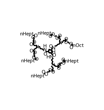 CCCCCCCCC(=O)OCCOC(=O)CCN(CCCCNC(=O)c1cc(C(=O)NCCCCN(CCC(=O)OCCOC(=O)CCCCCCC)CCC(=O)OCCOC(=O)CCCCCCC)cc(C(=O)NCCCCN(CCC(=O)OCCOC(=O)CCCCCCC)CCC(=O)OCCOC(=O)CCCCCCC)c1)CCC(=O)OCCOC(=O)CCCCCCC